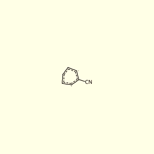 N#Cc1[c]ccc[c]1